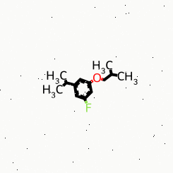 CC(C)COc1cc(F)cc(C(C)C)c1